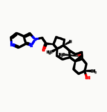 C[C@H]1OC2CC3C(CC[C@]4(C)[C@@H](C(=O)Cn5cc6ccncc6n5)CC[C@@H]34)[C@]13CC[C@@](C)(O)CC23